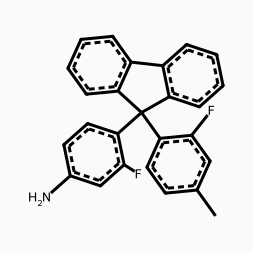 Cc1ccc(C2(c3ccc(N)cc3F)c3ccccc3-c3ccccc32)c(F)c1